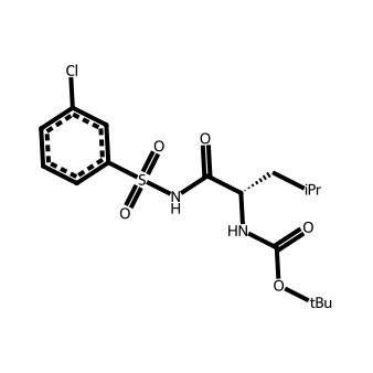 CC(C)C[C@H](NC(=O)OC(C)(C)C)C(=O)NS(=O)(=O)c1cccc(Cl)c1